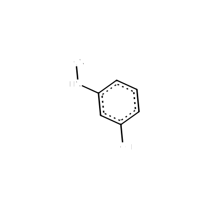 N#CNc1cccc(O)c1